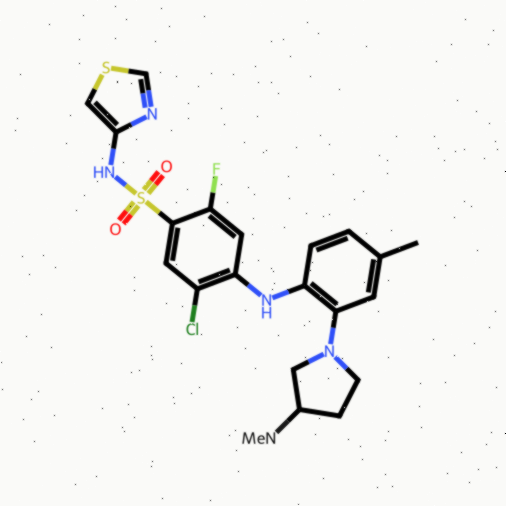 CNC1CCN(c2cc(C)ccc2Nc2cc(F)c(S(=O)(=O)Nc3cscn3)cc2Cl)C1